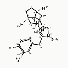 CC(C)n1nc(N[C@H]2[C@@H]3CC[C@H]2CN(C#N)C3)nc1Oc1ccc(F)c(C(F)(F)F)c1